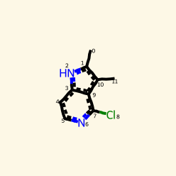 Cc1[nH]c2ccnc(Cl)c2c1C